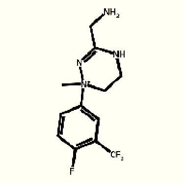 C[N+]1(c2ccc(F)c(C(F)(F)F)c2)CCNC(CN)=N1